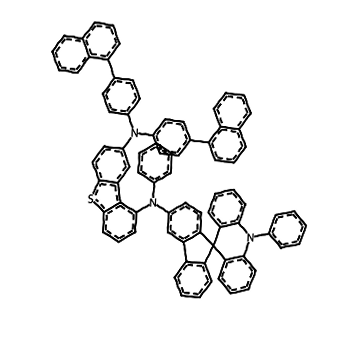 c1ccc(N2c3ccccc3C3(c4ccccc4-c4cc(N(c5ccccc5)c5cccc6sc7ccc(N(c8ccc(-c9cccc%10ccccc9%10)cc8)c8ccc(-c9cccc%10ccccc9%10)cc8)cc7c56)ccc43)c3ccccc32)cc1